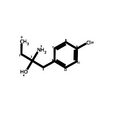 CCC(N)(O)Cc1ccc(Cl)cc1